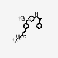 CONC(=O)C=Cc1ccc(CN2CCC(NC3CC3c3ccccc3)CC2)cc1.Cl.Cl